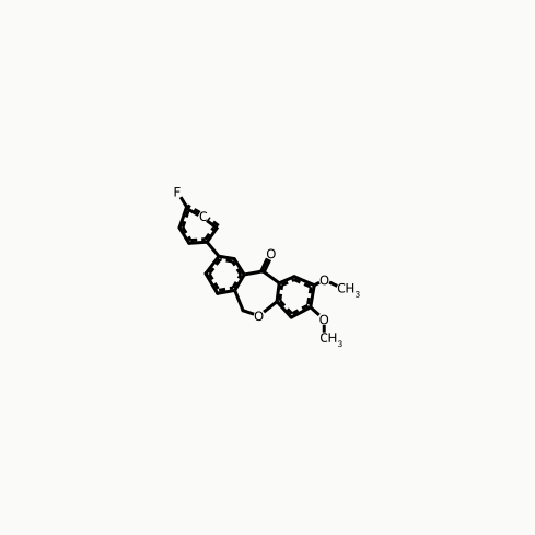 COc1cc2c(cc1OC)C(=O)c1cc(-c3ccc(F)cc3)ccc1CO2